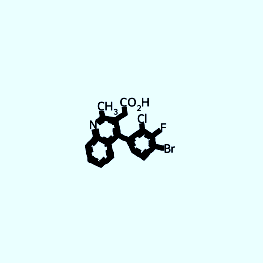 Cc1nc2ccccc2c(-c2ccc(Br)c(F)c2Cl)c1CC(=O)O